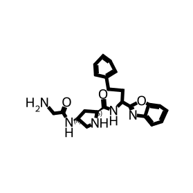 NCC(=O)N[C@H]1CN[C@H](C(=O)NC(CCc2ccccc2)c2nc3ccccc3o2)C1